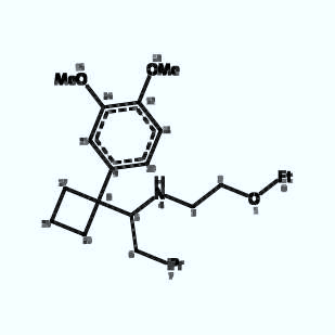 CCOCCNC(CC(C)C)C1(c2ccc(OC)c(OC)c2)CCC1